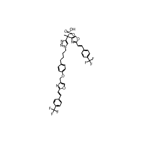 CC(c1cn(CCCCc2ccc(OCc3coc(/C=C/c4ccc(C(F)(F)F)cc4)n3)cc2)nn1)(c1coc(/C=C/c2ccc(C(F)(F)F)cc2)n1)S(=O)(=O)O